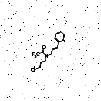 O=C(N(C/C=C/Cl)C/C=C/c1ccccc1)C(F)(F)F